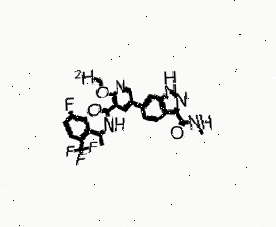 [2H]COc1ncc(-c2ccc3c(C(=O)NC)n[nH]c3c2)cc1C(=O)NC(C)c1cc(F)ccc1C(F)(F)F